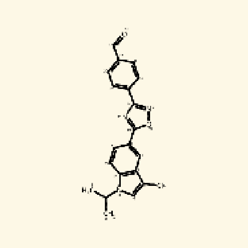 CC(C)n1cc(Cl)c2cc(-c3nc(-c4ccc(C=O)cc4)no3)ccc21